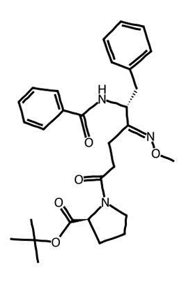 CON=C(CCC(=O)N1CCC[C@H]1C(=O)OC(C)(C)C)[C@@H](Cc1ccccc1)NC(=O)c1ccccc1